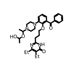 CCc1nc(CCCOc2c(C(=O)c3ccccc3)cccc2N2CCN(C(C)OC(C)O)CC2)[nH]c(=O)c1CC